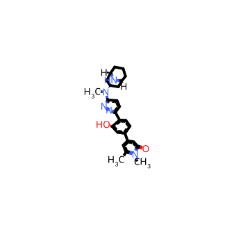 Cc1cc(-c2ccc(-c3ccc(N(C)[C@H]4C[C@H]5CCC[C@@H](C4)N5)nn3)c(O)c2)cc(=O)n1C